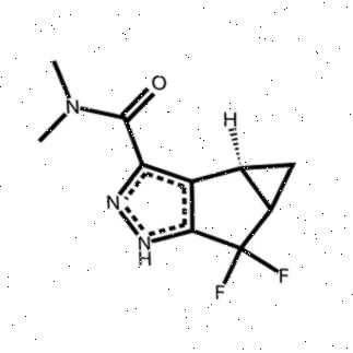 CN(C)C(=O)c1n[nH]c2c1[C@H]1CC1C2(F)F